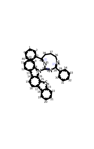 c1ccc(\C2=N/C(n3c4ccccc4c4ccc5c6ccccc6sc5c43)=N\C(c3ccccc3)=N/CCC2)cc1